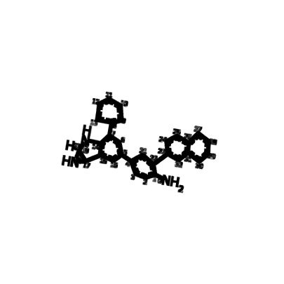 Nc1ccc(-c2cc(-c3ccccc3)c3c(c2)C2N[C@H]2N3)cc1-c1ccc2ccccc2c1